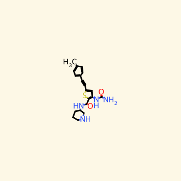 Cc1ccc(C#Cc2cc(NC(N)=O)c(C(=O)NC3CCCNC3)s2)cc1